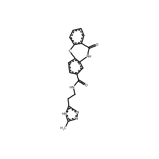 Cc1nnc(CCNC(=O)c2ccc3c(c2)NC(=O)c2ccccc2S3)[nH]1